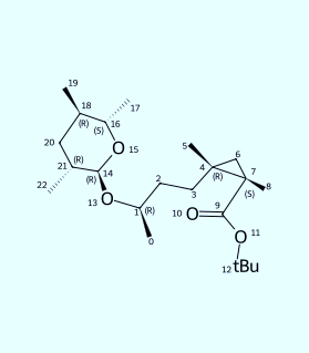 C[C@H](CC[C@]1(C)C[C@]1(C)C(=O)OC(C)(C)C)O[C@@H]1O[C@@H](C)[C@H](C)C[C@H]1C